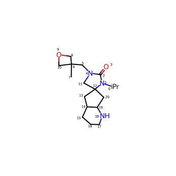 CC(C)N1C(=O)N(CC2(C)COC2)CC12CC1CCCNC1C2